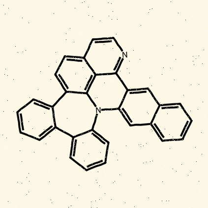 c1ccc2cc3c(cc2c1)c1nccc2ccc4c(c21)-n3c1ccccc1c1ccccc41